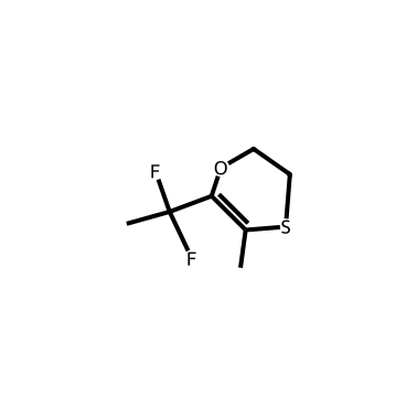 CC1=C(C(C)(F)F)OCCS1